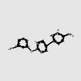 Nc1ccc(-c2cnc(Oc3cccc(F)c3)nc2)nn1